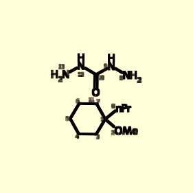 CCCC1(OC)CCCCC1.NNC(=O)NN